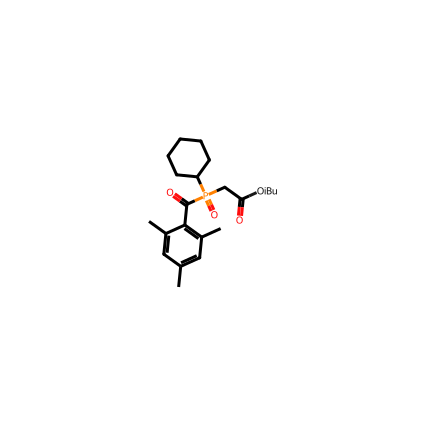 Cc1cc(C)c(C(=O)P(=O)(CC(=O)OCC(C)C)C2CCCCC2)c(C)c1